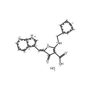 Cl.O=C(O)C1=C(NCc2ccccc2)O/C(=C\c2c[nH]c3ncccc23)C1=O